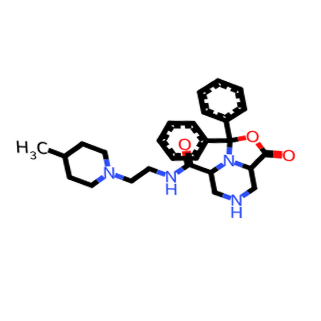 CC1CCN(CCNC(=O)C2CNCC3C(=O)OC(c4ccccc4)(c4ccccc4)N23)CC1